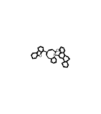 C=C1/C=C\C(c2cccc3c2oc2ccccc23)=C/Cc2ccccc2N1c1cc2c3ccccc3ccc2c2ccccc12